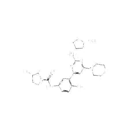 CC[C@@H]1CCN(C(=O)Nc2ccc(C)c(-c3cc(N4CCOCC4)nc(N[C@@H]4CC[C@H](O)C4)n3)c2)C1